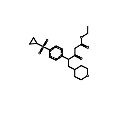 CCOC(=O)CC(=O)C(CC1CCOCC1)c1ccc(S(=O)(=O)C2CC2)cc1